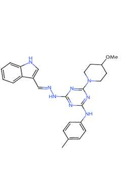 COC1CCN(c2nc(N/N=C/c3c[nH]c4ccccc34)nc(Nc3ccc(C)cc3)n2)CC1